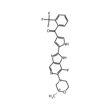 C[C@@H]1CN(c2ncc3nc(-c4cc(C(=O)c5ccccc5C(F)(F)F)c[nH]4)[nH]c3c2F)CCO1